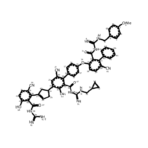 COc1ccc(CNC(=N)NC(=O)c2c(Oc3ccc(-c4c(C#N)cc(C5CC=C(c6c(C#N)ccc(O)c6C(=O)NC(=N)N)C5)c(O)c4C(=O)NC(=N)NCC4CC4)cc3)ccc(C#N)c2-c2ccccc2)cc1